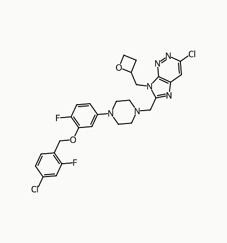 Fc1cc(Cl)ccc1COc1cc(N2CCN(Cc3nc4cc(Cl)nnc4n3CC3CCO3)CC2)ccc1F